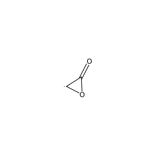 O=C1[CH]O1